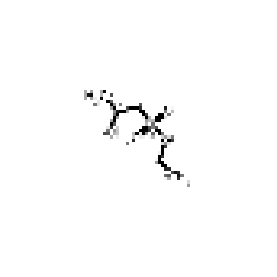 CCOS(=O)(=O)CC(C)O